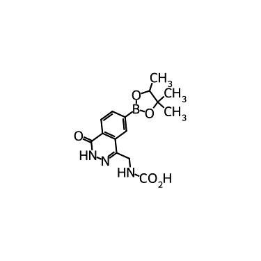 CC1OB(c2ccc3c(=O)[nH]nc(CNC(=O)O)c3c2)OC1(C)C